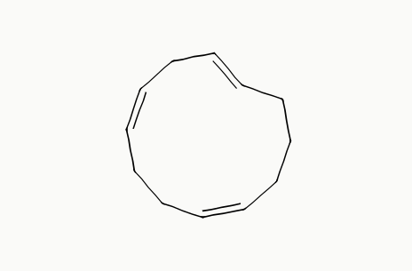 [C]1=C\C/C=C/CCC/C=C\CC/1